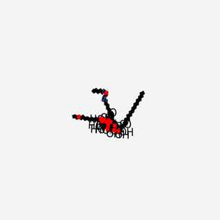 CCCCCC/C=C\C/C=C\CCCCCCC(=O)OC[C@H](CO[C@@H]1OC(COC(=O)CCCCCCCCCCCCCCCC)[C@@H](O)[C@H](O)C1O[C@@H]1OC(CO[C@H]2OC(CO)C(O)[C@H](O)[C@H]2O)[C@H](O)C(O)[C@H]1O)OC(=O)CCCCCCCCCCCCCCCCC